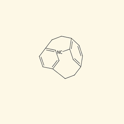 N#Cc1cc2ccc1CCc1ccc(cc1)CC2